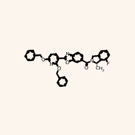 C[C@H]1c2c(F)cccc2CN1C(=O)c1ccc2nc(-c3ccc(OCc4ccccc4)nc3OCc3ccccc3)oc2c1